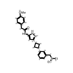 CCN(CC)Cc1cccc([C@H]2C[C@@H](c3cc(NC(=O)Cc4ccc(OC)cc4)[nH]n3)C2)c1